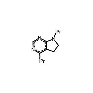 CC(C)c1ncnc2c1CCN2C(C)C